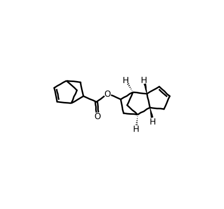 O=C(OC1C[C@H]2C[C@@H]1[C@@H]1C=CC[C@H]21)C1CC2C=CC1C2